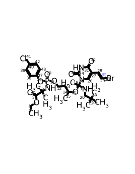 CCOC(=O)C(C)(C)NP(=O)(OCCC(C)OC(C)(NCC(C)(C)C)n1cc(/C=C/Br)c(=O)[nH]c1=O)Oc1ccc(Cl)cc1